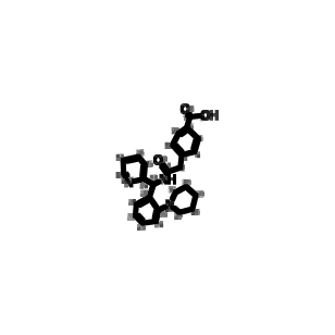 O=C(Cc1ccc(C(=O)O)cc1)NC(c1ccccn1)c1ccccc1N1CCCCC1